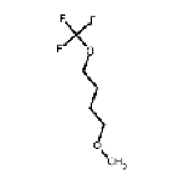 COCCCCOC(F)(F)F